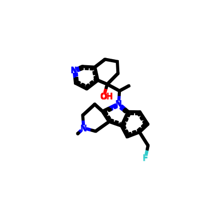 CC(n1c2c(c3cc(CF)ccc31)CN(C)CC2)C1(O)CCCc2cnccc21